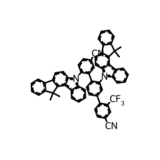 CC1(C)c2ccccc2-c2ccc3c(c21)c1ccccc1n3-c1ccc(C#N)cc1-c1ccc(-c2ccc(C#N)cc2C(F)(F)F)cc1-n1c2ccccc2c2c3c(ccc21)-c1ccccc1C3(C)C